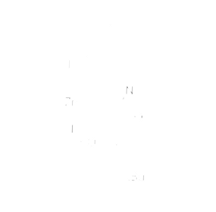 CC(C)(C)C(=O)ON1CCCCC1.[I][Zn][I]